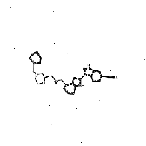 N#Cc1ccc2c(-c3cc4c(C[AsH]CC5CN(Cc6ccccc6)CCO5)cccc4[nH]3)n[nH]c2c1